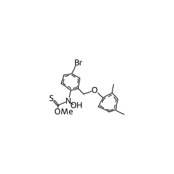 COC(=S)N(O)c1ccc(Br)cc1COc1ccc(C)cc1C